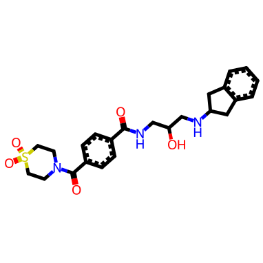 O=C(NCC(O)CNC1Cc2ccccc2C1)c1ccc(C(=O)N2CCS(=O)(=O)CC2)cc1